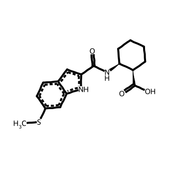 CSc1ccc2cc(C(=O)N[C@H]3CCCC[C@H]3C(=O)O)[nH]c2c1